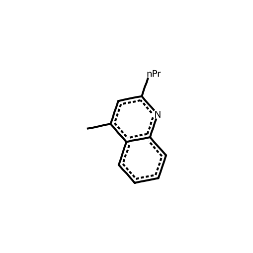 CCCc1cc(C)c2ccccc2n1